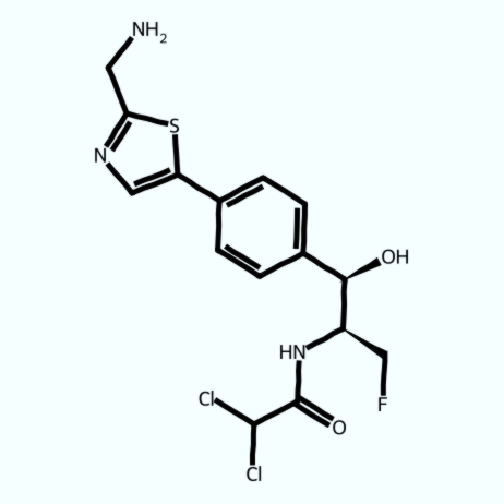 NCc1ncc(-c2ccc([C@@H](O)[C@@H](CF)NC(=O)C(Cl)Cl)cc2)s1